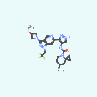 COC1CN(c2nn(CC(F)(F)F)c3cc(-c4n[nH]cc4NC(=O)N4CCC(C)CC45CC5)ncc23)C1